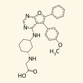 COc1ccc(-c2c(-c3ccccc3)oc3ncnc(NC4CCC[C@@H](NCC(=O)O)C4)c23)cc1